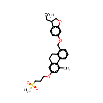 Cc1cc(OCCCS(C)(=O)=O)cc2c1-c1cccc(COc3ccc4c(c3)OCC4CC(=O)O)c1CC2